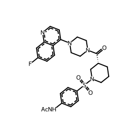 CC(=O)Nc1ccc(S(=O)(=O)N2CCC[C@@H](C(=O)N3CCN(c4ccnc5cc(F)ccc45)CC3)C2)cc1